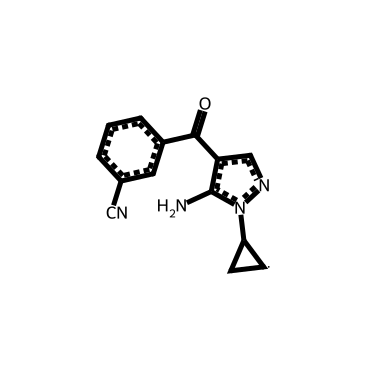 N#Cc1cccc(C(=O)c2cnn(C3[CH]C3)c2N)c1